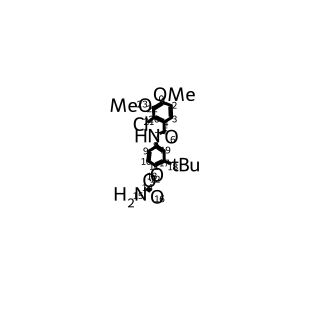 COc1ccc(C(=O)Nc2ccc(OOC(N)=O)c(C(C)(C)C)c2)c(Cl)c1OC